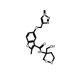 C=[N+]1C=C(COc2ccc3oc(C)c(C(=O)NC4(CO)CCOCC4)c3c2)N=N1